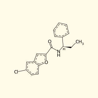 CC[C@@H](NC(=O)c1cc2cc(Cl)ccc2o1)c1ccccc1